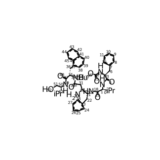 CC(C)[C@H](NC(=O)[C@H](Cc1ccccc1)NC(=O)OC(C)(C)C)C(=O)N[C@@H](Cc1ccccc1)[C@@H](N)CC(=O)N[C@@H](Cc1cccc2ccccc12)C(=O)N[C@H](CO)C(C)C